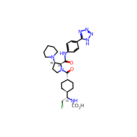 O=C(O)N[C@H](CF)[C@H]1CC[C@H](C(=O)N2CC[C@@H](N3CCCCC3)[C@H]2C(=O)Nc2ccc(-c3nnn[nH]3)cc2)CC1